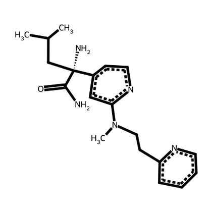 CC(C)C[C@](N)(C(N)=O)c1ccnc(N(C)CCc2ccccn2)c1